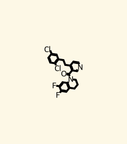 O=C(c1cnccc1CCc1cc(Cl)ccc1Cl)N1CCCc2cc(F)c(F)cc21